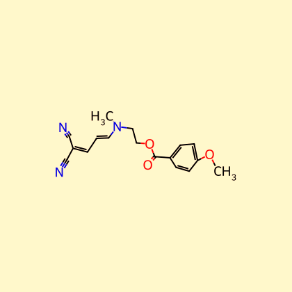 COc1ccc(C(=O)OCCN(C)/C=C/C=C(C#N)C#N)cc1